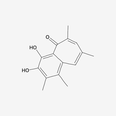 Cc1cc(C)c(=O)c2c(O)c(O)c(C)c(C)c2c1